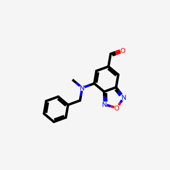 CN(Cc1ccccc1)c1cc(C=O)cc2nonc12